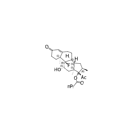 CCCC(=O)O[C@@]1(C(C)=O)[C@H](C)C[C@H]2[C@@H]3CCC4=CC(=O)CC[C@]4(C)[C@@]3(F)[C@@H](O)C[C@@]21C